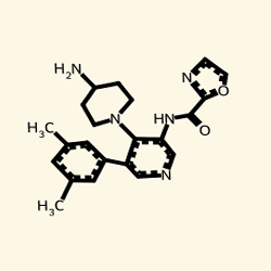 Cc1cc(C)cc(-c2cncc(NC(=O)c3ncco3)c2N2CCC(N)CC2)c1